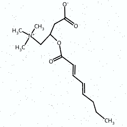 CCCC=CC=CC(=O)OC(CC(=O)[O-])C[N+](C)(C)C